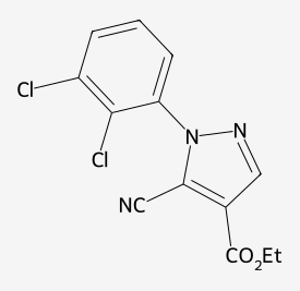 CCOC(=O)c1cnn(-c2cccc(Cl)c2Cl)c1C#N